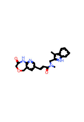 Cc1c(CN(C)C(=O)/C=C/c2cnc3c(c2)COCC(=O)N3)[nH]c2ccccc12